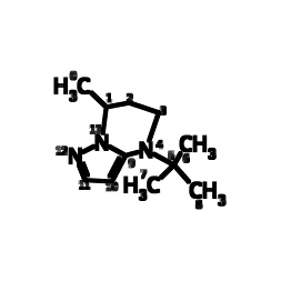 CC1CCN(C(C)(C)C)c2ccnn21